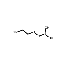 CCCCCOOB(O)O